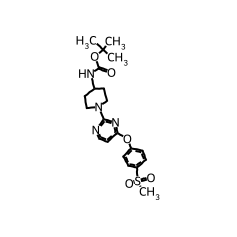 CC(C)(C)OC(=O)NC1CCN(c2nccc(Oc3ccc(S(C)(=O)=O)cc3)n2)CC1